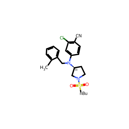 CCCCS(=O)(=O)N1CC[C@H](N(Cc2ccccc2C)c2ccc(C#N)c(Cl)c2)C1